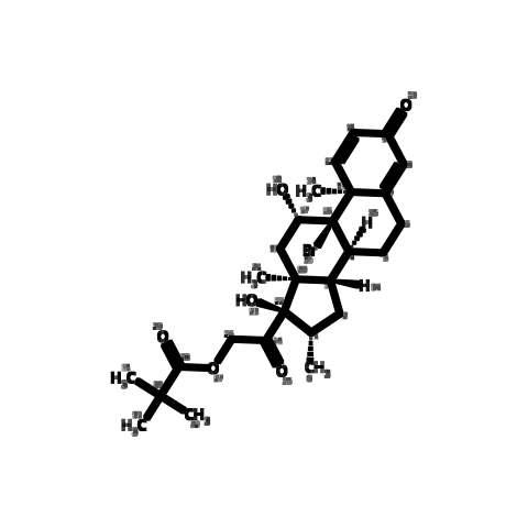 C[C@H]1C[C@H]2[C@@H]3CCC4=CC(=O)C=C[C@]4(C)[C@@]3(Br)[C@@H](O)C[C@]2(C)[C@@]1(O)C(=O)COC(=O)C(C)(C)C